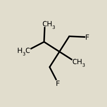 CC(C)C(C)(CF)CF